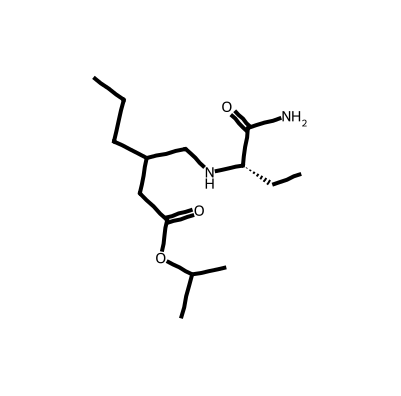 CCCC(CN[C@@H](CC)C(N)=O)CC(=O)OC(C)C